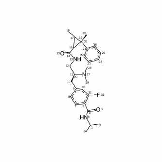 CC(C)NC(=O)c1ccc(C[C@@H](CNC(=O)C2C(C)[C@]2(C)c2ccccc2)N(C)C)cc1F